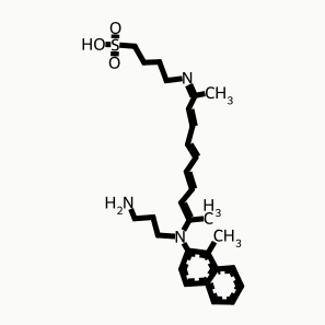 CC(/C=C/C=C/C=C/C=C(\C)N(CCCN)c1ccc2ccccc2c1C)=N/CCCCS(=O)(=O)O